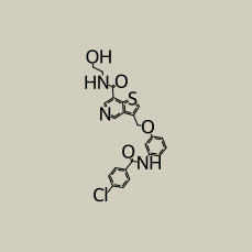 O=C(Nc1cccc(OCc2csc3c(C(=O)NCCO)cncc23)c1)c1ccc(Cl)cc1